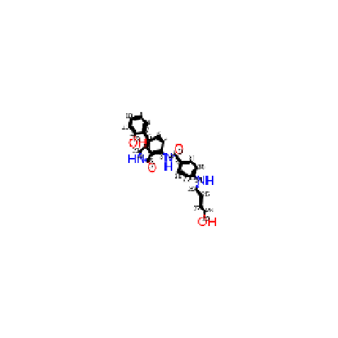 O=C(Nc1ccc(-c2ccccc2O)c2c1C(=O)NC2)c1ccc(NCCCCO)cc1